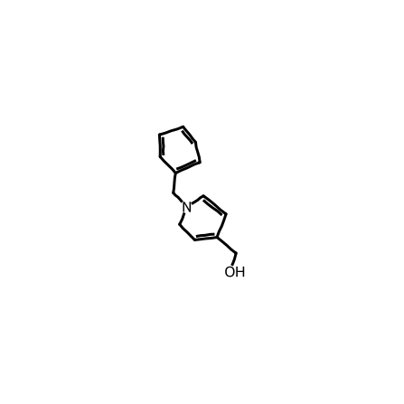 OCC1=CCN(Cc2ccccc2)C=C1